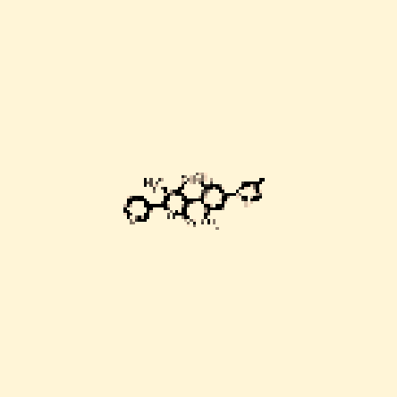 Cc1cc(-n2cc(Cl)cn2)cc(C)c1-c1c(O)c(C)c(-c2cccnc2)oc1=O